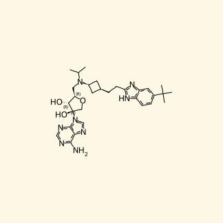 CC(C)N(C[C@H]1OC[C@](O)(n2cnc3c(N)ncnc32)[C@@H]1O)[C@H]1C[C@@H](CCc2nc3cc(C(C)(C)C)ccc3[nH]2)C1